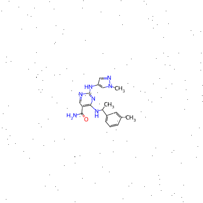 Cc1cccc(C(C)Nc2nc(Nc3cnn(C)c3)ncc2C(N)=O)c1